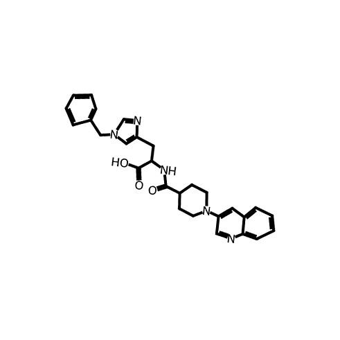 O=C(NC(Cc1cn(Cc2ccccc2)cn1)C(=O)O)C1CCN(c2cnc3ccccc3c2)CC1